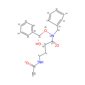 CCC(=O)NCC[C@H](O)C(=O)N(Cc1ccccc1)OCc1ccccc1